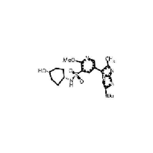 COc1ncc(-c2c(C)nc3sc(C(C)(C)C)cn23)cc1S(=O)(=O)N[C@H]1CC[C@@H](O)CC1